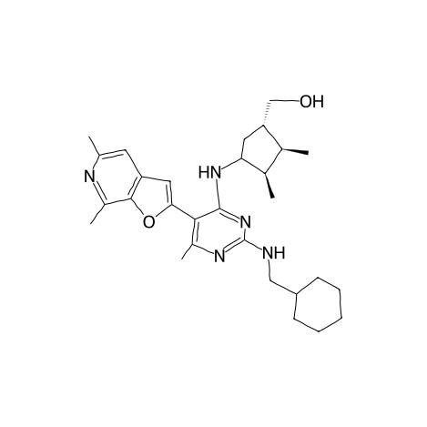 Cc1cc2cc(-c3c(C)nc(NCC4CCCCC4)nc3NC3C[C@H](CO)[C@@H](C)[C@H]3C)oc2c(C)n1